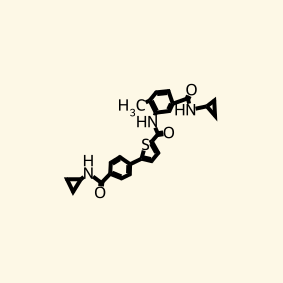 Cc1ccc(C(=O)NC2CC2)cc1NC(=O)c1ccc(-c2ccc(C(=O)NC3CC3)cc2)s1